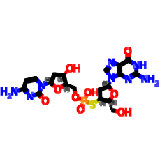 Nc1ccn([C@H]2C[C@H](O)[C@@H](COP(=O)(O)S[C@H]3C[C@H](n4cnc5c(=O)[nH]c(N)nc54)O[C@@H]3CO)O2)c(=O)n1